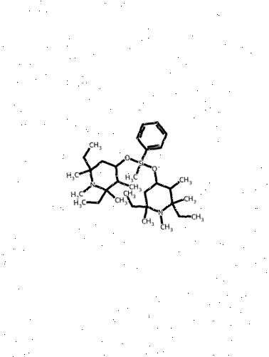 CCC1(C)CC(O[Si](C)(OC2CC(C)(CC)N(C)C(C)(CC)C2C)c2ccccc2)C(C)C(C)(CC)N1C